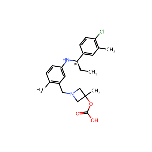 CC[C@@H](Nc1ccc(C)c(CN2CC(C)(OC(=O)O)C2)c1)c1ccc(Cl)c(C)c1